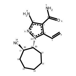 C=Cc1c(C(N)=O)c(N)nn1[C@@H]1CCCCC[C@H]1C#N